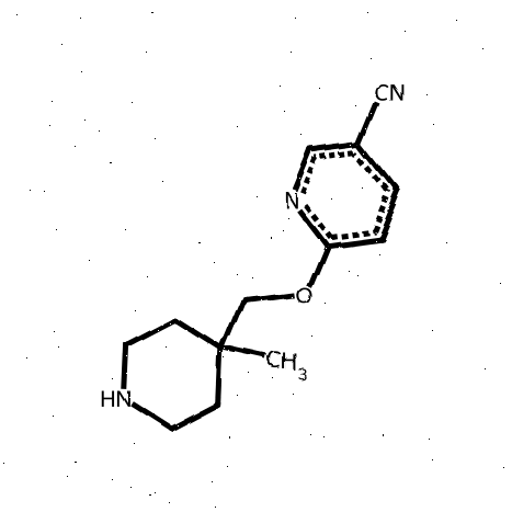 CC1(COc2ccc(C#N)cn2)CCNCC1